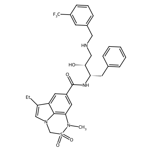 CCc1cn2c3c(cc(C(=O)N[C@@H](Cc4ccccc4)[C@H](O)CNCc4cccc(C(F)(F)F)c4)cc13)N(C)S(=O)(=O)C2